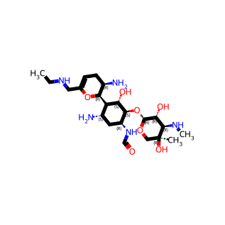 CCNCC1=CC[C@@H](N)[C@@H](C2[C@@H](N)C[C@@H](NC=O)[C@H](O[C@H]3OC[C@](C)(O)[C@H](NC)[C@H]3O)[C@H]2O)O1